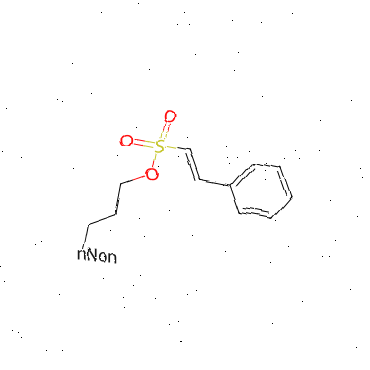 CCCCCCCCCCCCOS(=O)(=O)C=Cc1ccccc1